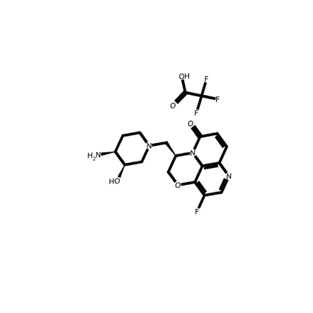 N[C@H]1CCN(C[C@@H]2COc3c(F)cnc4ccc(=O)n2c34)C[C@H]1O.O=C(O)C(F)(F)F